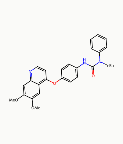 CCCCN(C(=O)Nc1ccc(Oc2ccnc3cc(OC)c(OC)cc23)cc1)c1ccccc1